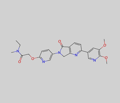 CCN(C)C(=O)COc1ccc(N2Cc3nc(-c4cnc(OC)c(OC)c4)ccc3C2=O)cn1